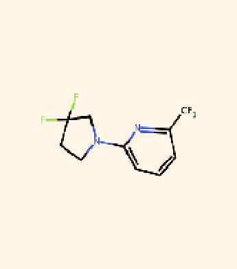 FC1(F)CCN(c2cccc(C(F)(F)F)n2)C1